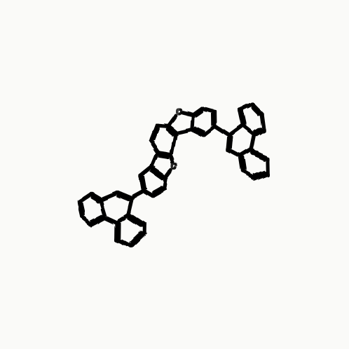 c1ccc2c(c1)cc(-c1ccc3oc4c(ccc5oc6ccc(-c7cc8ccccc8c8ccccc78)cc6c54)c3c1)c1ccccc12